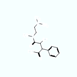 CN(C)CCN(C)C(=O)C(O)C(C(N)=O)c1ccccc1